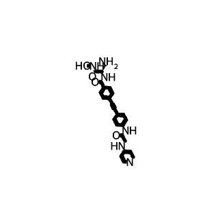 NC[C@H](NC(=O)c1ccc(C#Cc2ccc(NC(=O)CNc3ccncc3)cc2)cc1)C(=O)NO